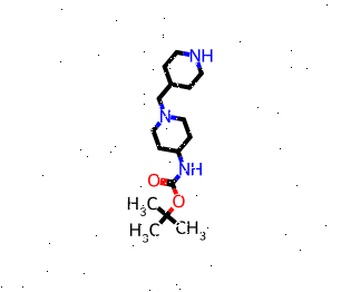 CC(C)(C)OC(=O)NC1CCN(CC2CCNCC2)CC1